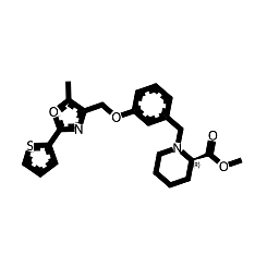 COC(=O)[C@H]1CCCCN1Cc1cccc(OCc2nc(-c3cccs3)oc2C)c1